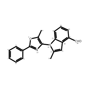 Cc1oc(-c2ccccc2)nc1-n1c(C)cc2c(C=O)cccc21